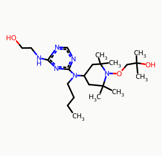 CCCCN(c1ncnc(NCCO)n1)C1CC(C)(C)N(OCC(C)(C)O)C(C)(C)C1